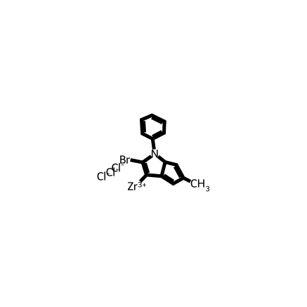 CC1=CC2C(=C1)[C]([Zr+3])=C(Br)N2c1ccccc1.[Cl-].[Cl-].[Cl-]